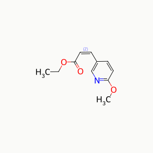 CCOC(=O)/C=C\c1ccc(OC)nc1